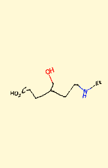 CCNCCC(O)CC(=O)O